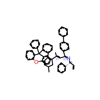 C=C[C@@H](/N=C(\C=C(/C)C1=C(c2ccccc2C2(c3ccccc3)c3ccccc3Oc3ccccc32)C=CC(C)C1)c1ccc(-c2ccccc2)cc1)c1ccccc1